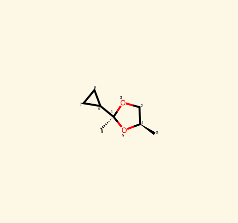 C[C@@H]1CO[C@](C)(C2CC2)O1